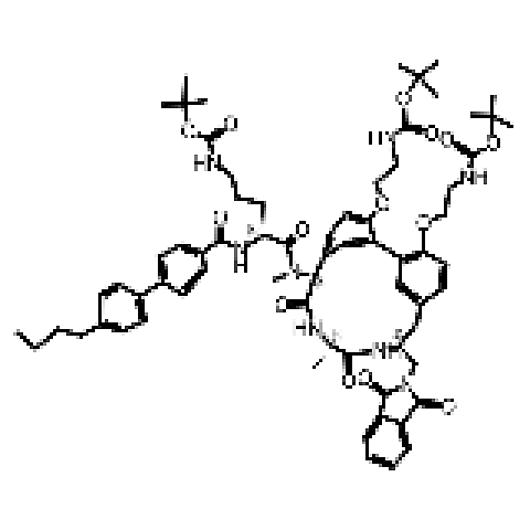 CCCCc1ccc(-c2ccc(C(=O)N[C@@H](CCCNC(=O)OC(C)(C)C)C(=O)N(C)[C@@H]3C(=O)N[C@@H](C)C(=O)N[C@H](CN4C(=O)c5ccccc5C4=O)Cc4ccc(OCCNC(=O)OC(C)(C)C)c(c4)-c4cc3ccc4OCCNC(=O)OC(C)(C)C)cc2)cc1